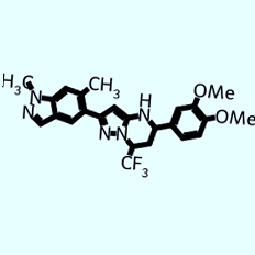 COc1ccc(C2CC(C(F)(F)F)n3nc(-c4cc5cnn(C)c5cc4C)cc3N2)cc1OC